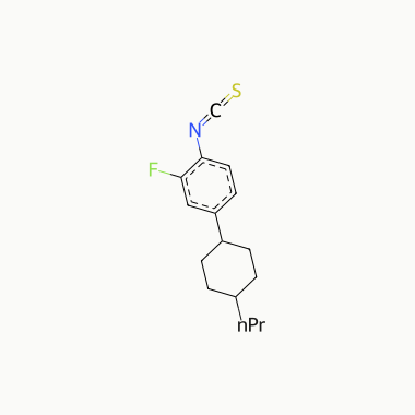 CCCC1CCC(c2ccc(N=C=S)c(F)c2)CC1